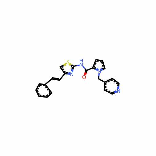 O=C(Nc1nc(C=Cc2ccccc2)cs1)c1cccn1Cc1ccncc1